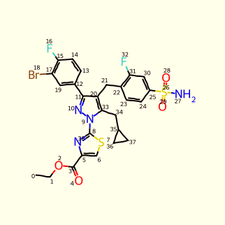 CCOC(=O)c1csc(-n2nc(-c3ccc(F)c(Br)c3)c(Cc3ccc(S(N)(=O)=O)cc3F)c2CC2CC2)n1